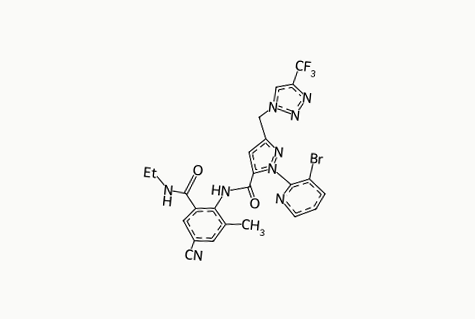 CCNC(=O)c1cc(C#N)cc(C)c1NC(=O)c1cc(Cn2cc(C(F)(F)F)nn2)nn1-c1ncccc1Br